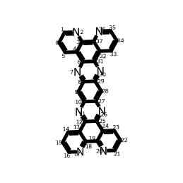 c1cnc2c(c1)c1nc3cc4nc5c6cccnc6c6ncccc6c5nc4cc3nc1c1cccnc12